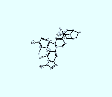 Cn1nnc2cc(-c3ccc(C(=O)N4C5CCC4CC(N)C5)cc3-c3ccc(C#N)c(F)c3)c(F)c(F)c21